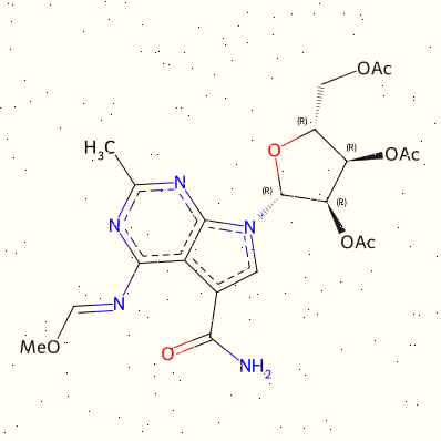 COC=Nc1nc(C)nc2c1c(C(N)=O)cn2[C@@H]1O[C@H](COC(C)=O)[C@@H](OC(C)=O)[C@H]1OC(C)=O